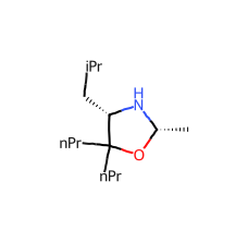 CCCC1(CCC)O[C@@H](C)N[C@H]1CC(C)C